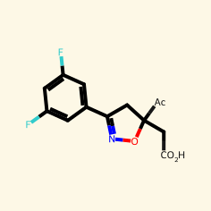 CC(=O)C1(CC(=O)O)CC(c2cc(F)cc(F)c2)=NO1